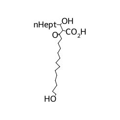 CCCCCCCC(O)C(C(=O)O)C(=O)CCCCCCCCCCCCCO